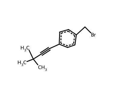 CC(C)(C)C#Cc1ccc(CBr)cc1